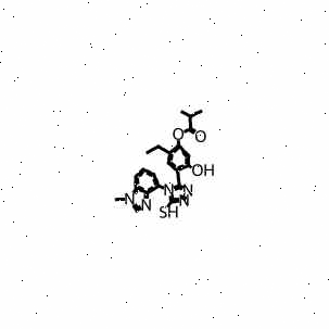 CCc1cc(-c2nnc(S)n2-c2cccc3c2ncn3C)c(O)cc1OC(=O)C(C)C